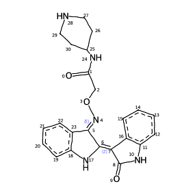 O=C(CO/N=C1/C(=C2/C(=O)Nc3ccccc32)Nc2ccccc21)NC1CCNCC1